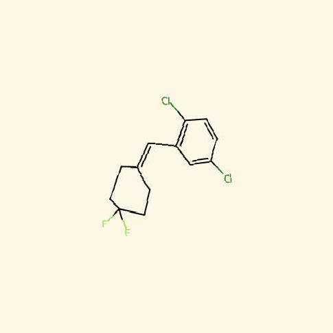 FC1(F)CCC(=Cc2cc(Cl)ccc2Cl)CC1